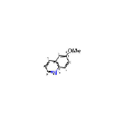 COc1ccc2c(c1)C=CC=[N+]2